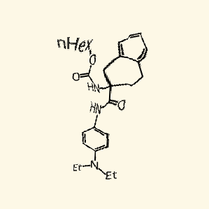 CCCCCCOC(=O)NC1(C(=O)Nc2ccc(N(CC)CC)cc2)CCc2ccccc2C1